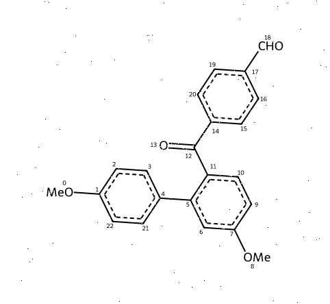 COc1ccc(-c2cc(OC)ccc2C(=O)c2ccc(C=O)cc2)cc1